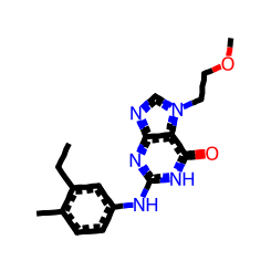 CCc1cc(Nc2nc3ncn(CCOC)c3c(=O)[nH]2)ccc1C